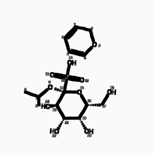 C1=CCOC=C1.CC(C)O[C@]1(S(=O)(=O)O)O[C@H](CO)[C@H](O)[C@H](O)[C@H]1O